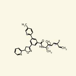 C=C/C(F)=C\C=C(/C)[C@@H](C)NC(=O)c1cc(C2=NOC(c3ccccn3)C2)cc(-c2ccc(C)cn2)c1